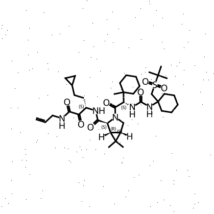 C=CCNC(=O)C(=O)[C@H](CCC1CC1)NC(=O)[C@@H]1[C@@H]2[C@H](CN1C(=O)[C@@H](NC(=O)NC1(CS(=O)(=O)C(C)(C)C)CCCCC1)C1(C)CCCCC1)C2(C)C